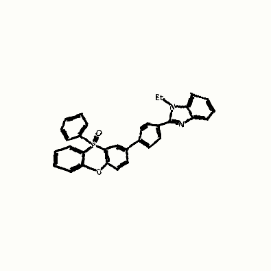 CCn1c(-c2ccc(-c3ccc4c(c3)P(=O)(c3ccccc3)c3ccccc3O4)cc2)nc2ccccc21